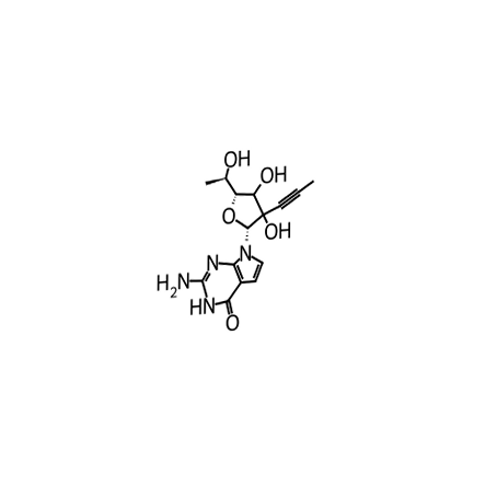 CC#CC1(O)C(O)[C@@H]([C@@H](C)O)O[C@H]1n1ccc2c(=O)[nH]c(N)nc21